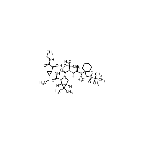 CCNC(=O)C(=O)[C@]1(NC(=O)[C@@H]2[C@@H]3[C@H](CN2C(=O)[C@@H](NC(=O)NC2([C@@H](C)S(=O)(=O)C(C)(C)C)CCCCC2)C(C)(C)C)C3(C)C)C[C@H]1CC